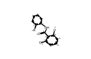 O=C(Nc1cccc[c]1[K])c1c(Cl)cccc1Cl